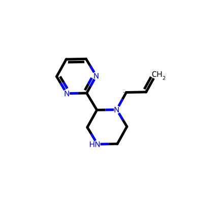 C=C[CH]N1CCNCC1c1ncccn1